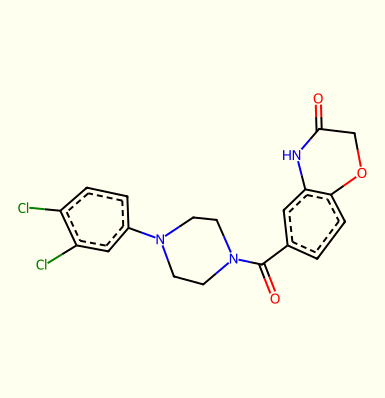 O=C1COc2ccc(C(=O)N3CCN(c4ccc(Cl)c(Cl)c4)CC3)cc2N1